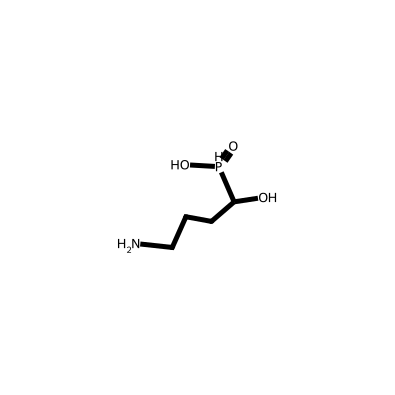 NCCCC(O)[PH](=O)O